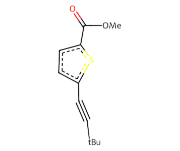 COC(=O)c1ccc(C#CC(C)(C)C)s1